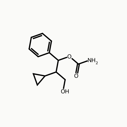 NC(=O)OC(c1ccccc1)C(CO)C1CC1